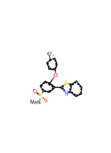 CNS(=O)(=O)c1ccc(Oc2ccc(C(F)(F)F)cc2)c(-c2nc3ccccc3s2)c1